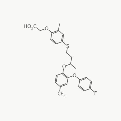 Cc1cc(SCCC(C)Oc2ccc(C(F)(F)F)cc2Oc2ccc(F)cc2)ccc1OCC(=O)O